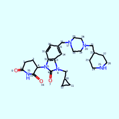 O=C1CCC(n2c(=O)n(CC3CC3)c3cc(CN4CCN(CC5CCNCC5)CC4)ccc32)C(=O)N1